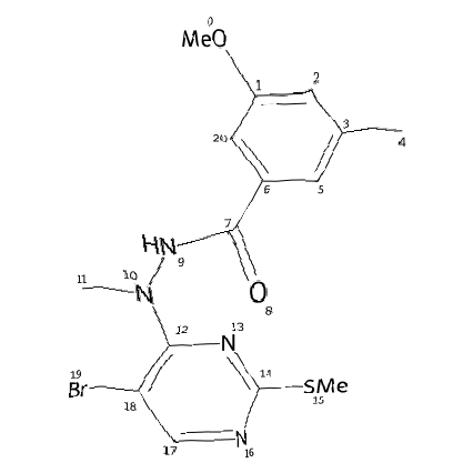 COc1cc(C)cc(C(=O)NN(C)c2nc(SC)ncc2Br)c1